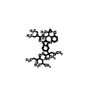 CCNC(=O)[C@H](NC(=O)C(C)(COC)c1ccc2nc([C@@H](NC(=O)N(CC)CC)[C@H](c3ccccc3Cl)C3(C)CC3)[nH]c2c1)C(C)C